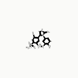 COc1cc(-n2c(-c3cc(F)c(S(C)(=O)=O)cc3F)csc2=O)ccc1Cl